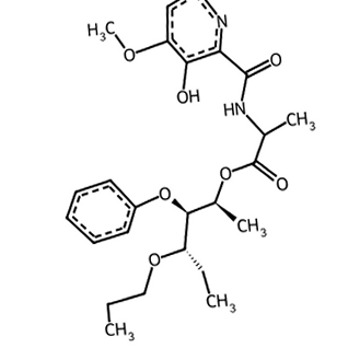 CCCO[C@@H](CC)[C@@H](Oc1ccccc1)[C@H](C)OC(=O)C(C)NC(=O)c1nccc(OC)c1O